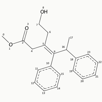 COC(=O)CC(CCO)=C(c1ccccc1)C(C)c1ccccc1